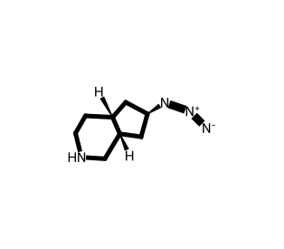 [N-]=[N+]=N[C@@H]1C[C@H]2CCNC[C@H]2C1